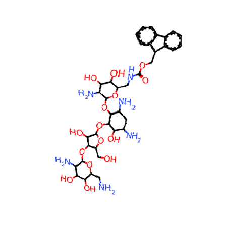 NCC1OC(OC2C(CO)OC(OC3C(O)C(N)CC(N)C3OC3OC(CNC(=O)OCC4c5ccccc5-c5ccccc54)C(O)C(O)C3N)C2O)C(N)C(O)C1O